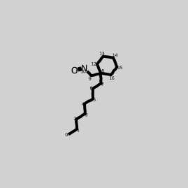 CCCCCCCCC1(CN=O)CCCCC1